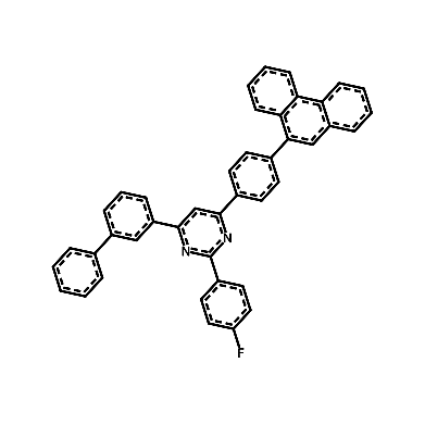 Fc1ccc(-c2nc(-c3ccc(-c4cc5ccccc5c5ccccc45)cc3)cc(-c3cccc(-c4ccccc4)c3)n2)cc1